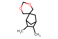 CC1C2CC(C1C)C1(COCOC1)C2